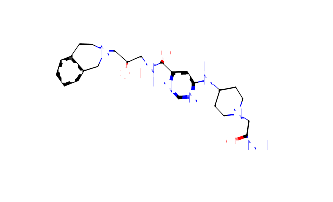 NC(=O)CN1CCC(Nc2cc(C(=O)NCC(O)CN3CCc4ccccc4C3)ncn2)CC1